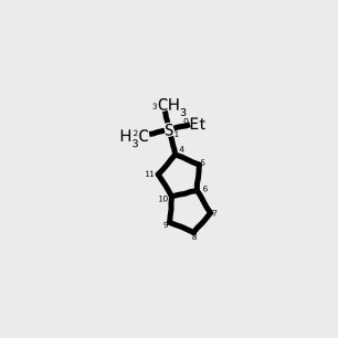 CCS(C)(C)C1CC2CCCC2C1